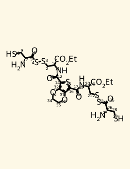 CCOC(=O)C(CSSC(=O)[C@@H](N)CS)NC(=O)c1sc(C(=O)NC(CSSC(=O)[C@@H](N)CS)C(=O)OCC)c2c1OCCO2